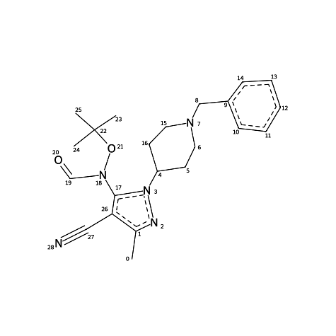 Cc1nn(C2CCN(Cc3ccccc3)CC2)c(N(C=O)OC(C)(C)C)c1C#N